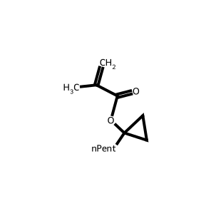 C=C(C)C(=O)OC1(CCCCC)CC1